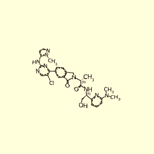 C[C@H](C(=O)N[C@H](CO)c1cccc(N(C)C)n1)N1Cc2ccc(-c3nc(Nc4ccnn4C)ncc3Cl)cc2C1=O